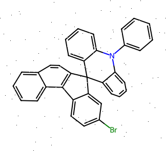 Brc1ccc2c(c1)C1(c3ccccc3N(c3ccccc3)c3ccccc31)c1ccc3ccccc3c1-2